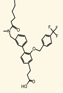 CCCCCC(=O)N(C)Cc1cccc(-c2ccc(CCC(=O)O)cc2OCc2ccc(C(F)(F)F)cc2)c1